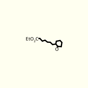 CCOC(=O)CCCCCCC1CCCCC1=O